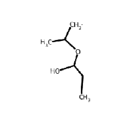 [CH2]C(C)OC(O)CC